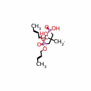 [CH2]C([CH2])(CP(=O)(O)O)CP(=O)(OCC=CC)OCC=CC